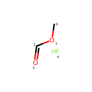 COC=O.F